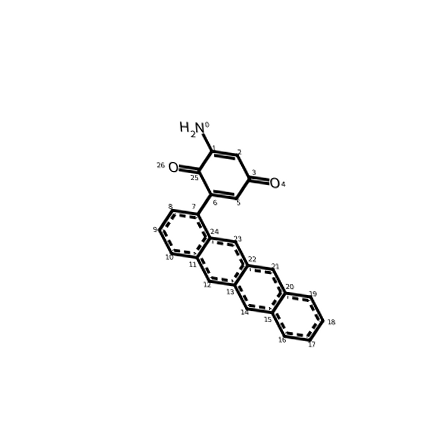 NC1=CC(=O)C=C(c2cccc3cc4cc5ccccc5cc4cc23)C1=O